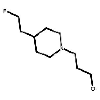 [O]CCCN1CCC(CCF)CC1